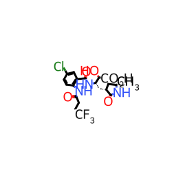 C[C@@H]1C[C@@H](C[C@H](NC(=O)c2cc(Cl)ccc2NC(=O)CCC(F)(F)F)C(O)C(=O)O)C(=O)N1